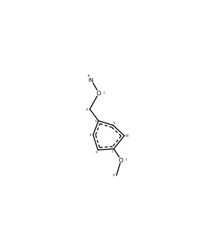 COc1ccc(CO[N])cc1